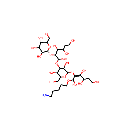 NCCCCCOC(O)/C(O[C@H]1OC(CO)[C@@H](O)C(OC(O)C(O[C@H]2OC(CO)[C@@H](O)C(O)C2O)[C@@H](O)C(O)CCO)C1O)=C(/O)C(O)CCO